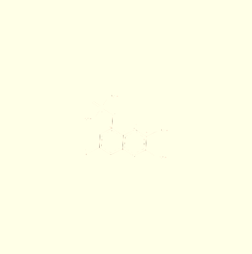 COc1nc2cc(Br)cc(CP(=O)(OC)OC)c2nc1OC